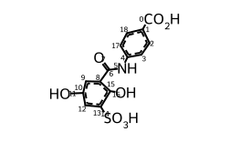 O=C(O)c1ccc(NC(=O)c2cc(O)cc(S(=O)(=O)O)c2O)cc1